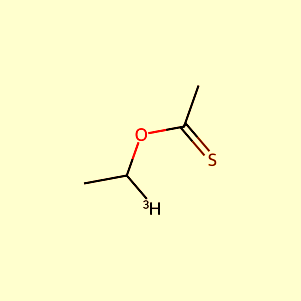 [3H]C(C)OC(C)=S